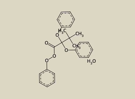 CC(C)(C)C(Oc1ccccc1)(Oc1ccccc1)C(=O)OOc1ccccc1.O